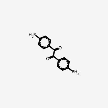 Bc1ccc(C(=O)C(=O)c2ccc(B)cc2)cc1